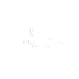 O=C(Oc1ccc2c(c1)S(=O)(=O)NC(C1CCCCC1)N2)c1ccccc1